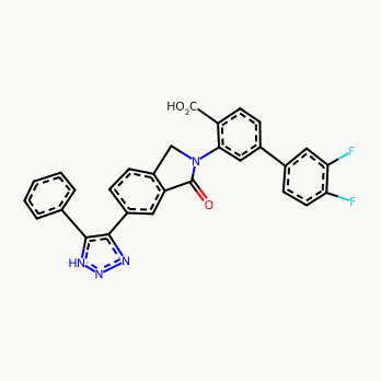 O=C(O)c1ccc(-c2ccc(F)c(F)c2)cc1N1Cc2ccc(-c3nn[nH]c3-c3ccccc3)cc2C1=O